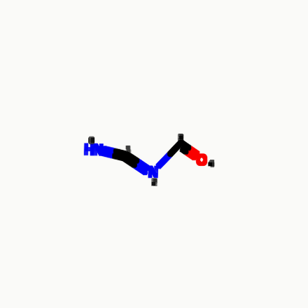 N=C=N[C]=O